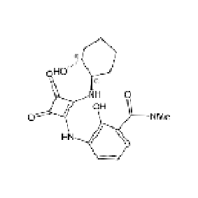 CNC(=O)c1cccc(Nc2c(N[C@@H]3CCCC[C@H]3O)c(=O)c2=O)c1O